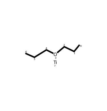 CCCOCCC.[Ti]